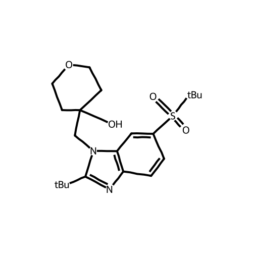 CC(C)(C)c1nc2ccc(S(=O)(=O)C(C)(C)C)cc2n1CC1(O)CCOCC1